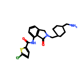 NCC1CCC(CN2Cc3cccc(NC(=O)c4ccc(Cl)s4)c3C2=O)CC1